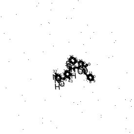 C=C[C@@]1(COCc2ccccc2)CC[C@@H](c2cccc(F)c2)N1C(=O)CNC(=O)c1ccc(Cc2cc(C)n[nH]c2=O)c(C)c1